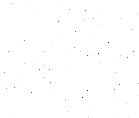 CC(C)OC(=O)C1(CCCCCCOCCC2CC2)CO1